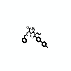 CCCN(C(=O)N[C@@H](CSCc1ccccc1)C(=O)O)C(=O)c1ccc(-c2ccc(C)cc2)cc1